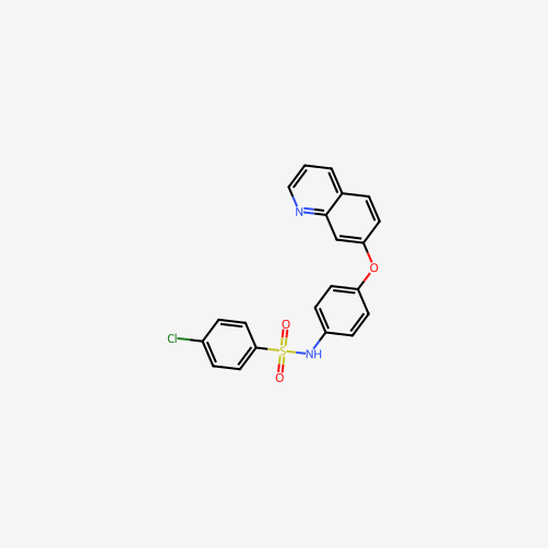 O=S(=O)(Nc1ccc(Oc2ccc3cccnc3c2)cc1)c1ccc(Cl)cc1